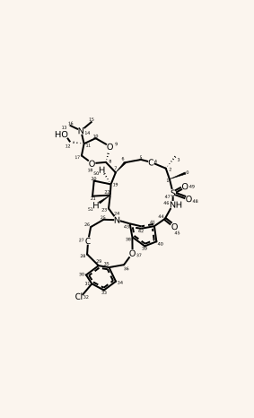 C[C@@H]1[C@@H](C)CCC[C@H]([C@H]2OC[C@](CO)(N(C)C)CO2)[C@@H]2CC[C@H]2CN2CCCCc3cc(Cl)ccc3COc3ccc(cc32)C(=O)NS1(=O)=O